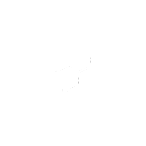 CCC=C(CO)CCCCC